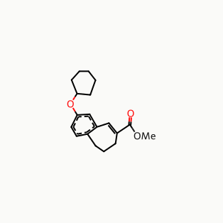 COC(=O)C1=Cc2cc(OC3CCCCC3)ccc2CCC1